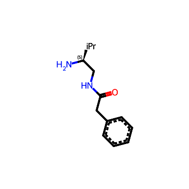 CC(C)[C@H](N)CNC(=O)Cc1ccccc1